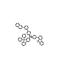 CC1(C)c2ccccc2-c2cccc(-c3ccc(N(c4ccc(-c5cccc(-c6ccc7ccccc7c6)c5)cc4)c4ccc5c(c4)C(c4ccccc4)(c4ccccc4)c4ccccc4-5)cc3)c21